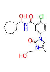 Cc1cn(-c2ccc(Cl)c(C(=O)NC(O)C3CCCCCC3)c2)c(=O)n1CCO